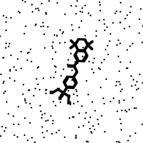 C=C(Cc1ccc(P(=O)(OCC)OCC)cc1)c1ccc2c(c1)C(C)(C)CCC2(C)C